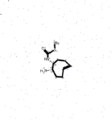 CC(C)(C)SC(=O)N[C@@H]1CC/C=C/CC[C@@H]1N